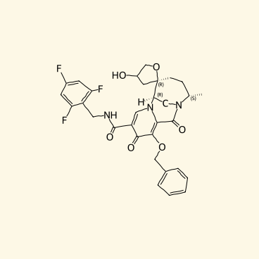 C[C@H]1CC[C@@]2(CC(O)CO2)[C@H]2CN1C(=O)c1c(OCc3ccccc3)c(=O)c(C(=O)NCc3c(F)cc(F)cc3F)cn12